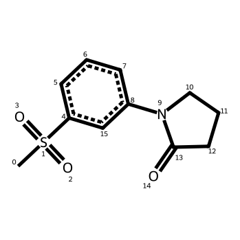 CS(=O)(=O)c1cccc(N2CCCC2=O)c1